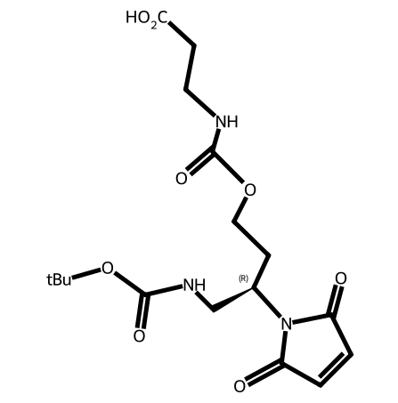 CC(C)(C)OC(=O)NC[C@@H](CCOC(=O)NCCC(=O)O)N1C(=O)C=CC1=O